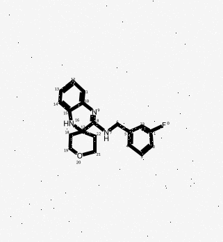 Fc1cccc(CNC2=Nc3ccccc3NC23CCOCC3)c1